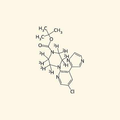 [2H]C1([2H])N(C(=O)OC(C)(C)C)C([2H])([2H])C([2H])([2H])N(c2ncc(Cl)cc2-c2cnccn2)C1([2H])[2H]